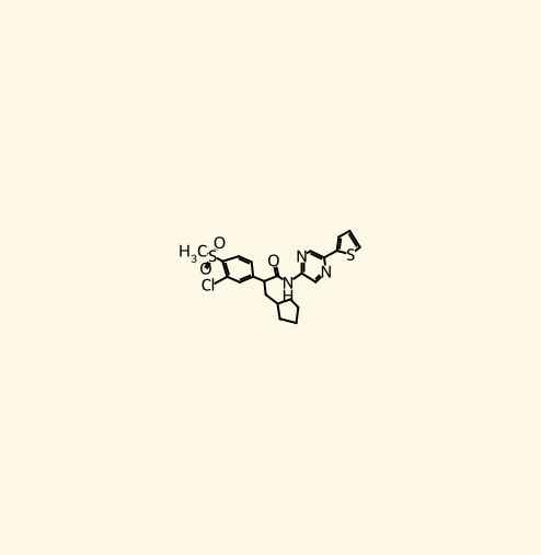 CS(=O)(=O)c1ccc(C(CC2CCCC2)C(=O)Nc2cnc(-c3cccs3)cn2)cc1Cl